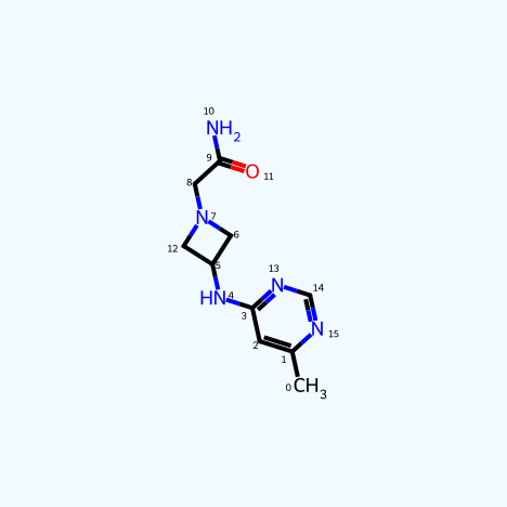 Cc1cc(NC2CN(CC(N)=O)C2)ncn1